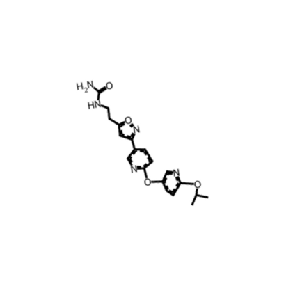 CC(C)Oc1ccc(Oc2ccc(-c3cc(CCNC(N)=O)on3)cn2)cn1